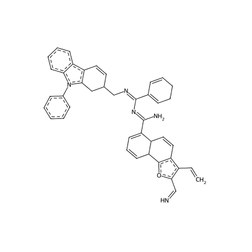 C=Cc1c(C=N)oc2c1C=CC1C(/C(N)=N/C(=N\CC3C=Cc4c(n(-c5ccccc5)c5ccccc45)C3)C3=CCCC=C3)=CC=CC21